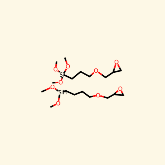 CO[SiH](CCCCOCC1CO1)OC.CO[Si](CCCOCC1CO1)(OC)OC